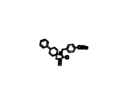 COc1ccc(CN2C(=O)NCC23CCC(c2ccccc2)CC3)cc1